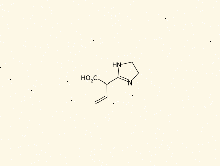 C=CC(C(=O)O)C1=NCCN1